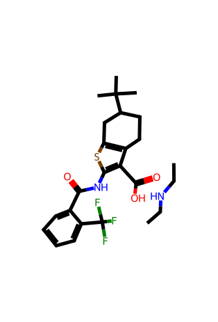 CC(C)(C)C1CCc2c(sc(NC(=O)c3ccccc3C(F)(F)F)c2C(=O)O)C1.CCNCC